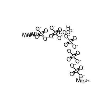 O.O.O=S(=O)([O-])[O-].O=S(=O)([O-])[O-].O=S(=O)([O-])[O-].O=S(=O)([O-])[O-].O=S(=O)([O-])[O-].[Al+3].[Al+3].[Mn+2].[Mn+2]